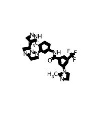 Cc1ccc(NC(=O)c2cc(-n3ccnc3C)cc(C(F)(F)F)c2)cc1-n1ccc2ncc(-c3cn[nH]c3)n21